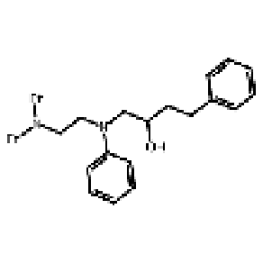 CCN(CC)CCN(CC(O)CCc1ccccc1)c1ccccc1